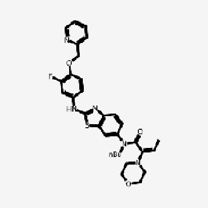 C/C=C(\C(=O)N(CCCC)c1ccc2nc(Nc3ccc(OCc4ccccn4)c(F)c3)sc2c1)N1CCOCC1